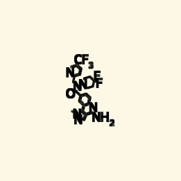 Cn1ncc2c(N)nc3ccc(C(=O)N(Cc4ccc(C(F)(F)F)cn4)N4CCC(F)(F)CC4)cc3c21